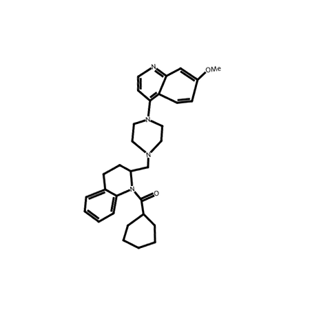 COc1ccc2c(N3CCN(CC4CCc5ccccc5N4C(=O)C4CCCCC4)CC3)ccnc2c1